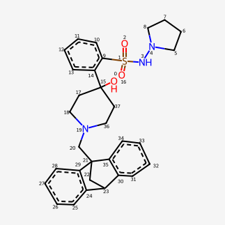 O=S(=O)(NN1CCCC1)c1ccccc1C1(O)CCN(CC23CC(c4ccccc42)c2ccccc23)CC1